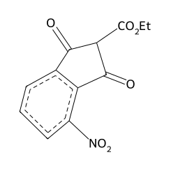 CCOC(=O)C1C(=O)c2cccc([N+](=O)[O-])c2C1=O